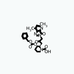 Cc1cc(C)c2ncn(CC(=O)C[C@@H]3[C@@H](OC(=O)OCc4ccccc4)CCCN3C(=O)O)c(=O)c2n1